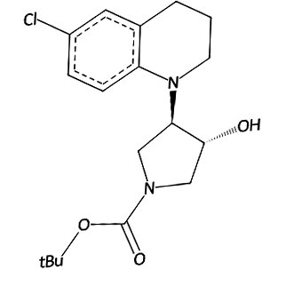 CC(C)(C)OC(=O)N1C[C@@H](O)[C@H](N2CCCc3cc(Cl)ccc32)C1